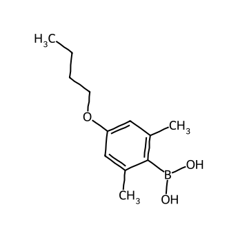 CCCCOc1cc(C)c(B(O)O)c(C)c1